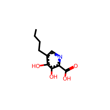 CCCCc1cnc(C(=O)O)c(O)c1O